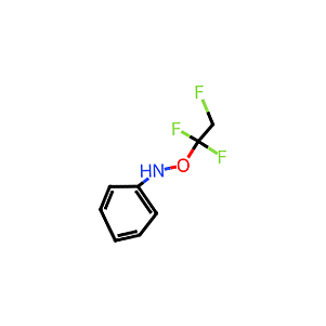 FCC(F)(F)ONc1ccccc1